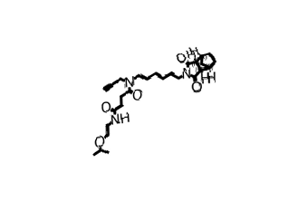 C#CCN(CCCCCCN1C(=O)[C@@H]2[C@H](C1=O)[C@H]1C=C[C@@H]2C1)C(=O)CCC(=O)NCCOC(C)C